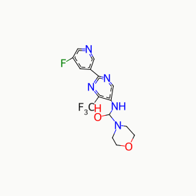 OC(Nc1cnc(-c2cncc(F)c2)nc1C(F)(F)F)N1CCOCC1